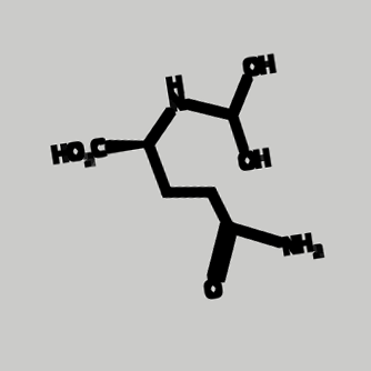 NC(=O)CC[C@H](NC(O)O)C(=O)O